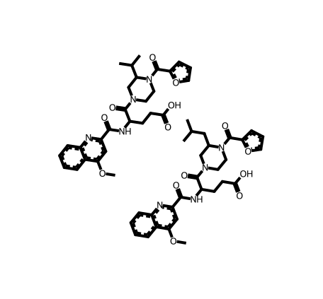 COc1cc(C(=O)NC(CCC(=O)O)C(=O)N2CCN(C(=O)c3ccco3)C(C(C)C)C2)nc2ccccc12.COc1cc(C(=O)NC(CCC(=O)O)C(=O)N2CCN(C(=O)c3ccco3)C(CC(C)C)C2)nc2ccccc12